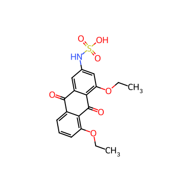 CCOc1cccc2c1C(=O)c1c(OCC)cc(NS(=O)(=O)O)cc1C2=O